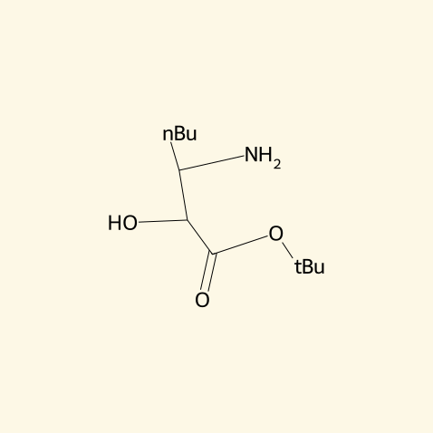 CCCCC(N)C(O)C(=O)OC(C)(C)C